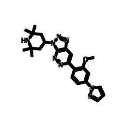 COc1cc(-n2cccn2)ccc1-c1cc2nnn(C3CC(C)(C)NC(C)(C)C3)c2nn1